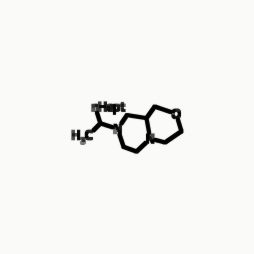 CCCCCCCC(C)N1CCN2CCOCC2C1